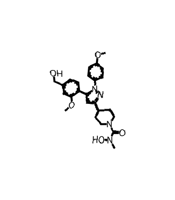 COc1ccc(-n2nc(C3CCN(C(=O)N(C)O)CC3)cc2-c2ccc(CO)cc2OC)cc1